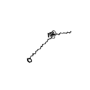 CCCCCCCCCC[Si](OC)(OC)OC(F)CCCCCCCCCCCCCCCCc1ccccc1